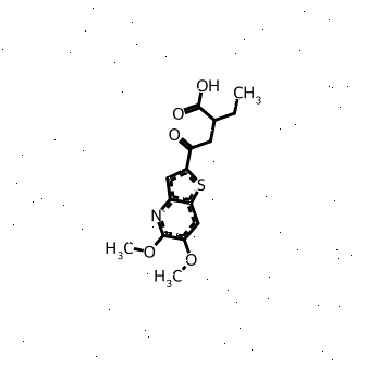 CCC(CC(=O)c1cc2nc(OC)c(OC)cc2s1)C(=O)O